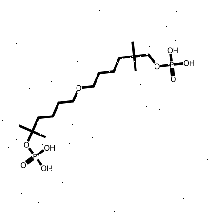 CC(C)(CCCCOCCCCC(C)(C)OP(=O)(O)O)COP(=O)(O)O